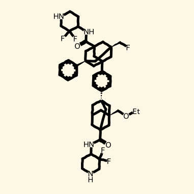 CCOC[C@]12CC3CC(C(=O)NC4CCNCC4(F)F)(C1)C[C@@](c1ccc(C45CC6(C(=O)NC7CCNCC7(F)F)C[C@](CF)(C4)C[C@@](c4ccccc4)(C6)C5)cc1)(C3)C2